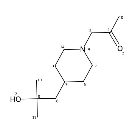 CC(=O)CN1CCC(CC(C)(C)O)CC1